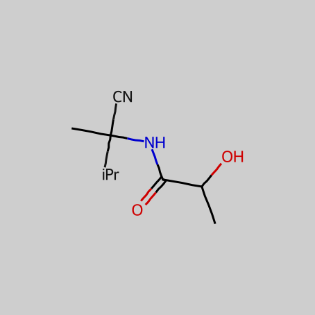 CC(O)C(=O)NC(C)(C#N)C(C)C